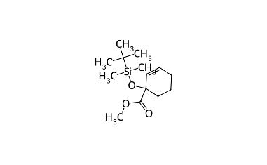 COC(=O)C1(O[Si](C)(C)C(C)(C)C)C=CCCC1